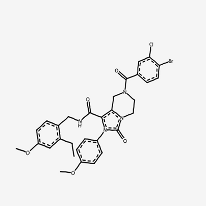 CCc1cc(OC)ccc1CNC(=O)c1c2n(c(=O)n1-c1ccc(OC)cc1)CCN(C(=O)c1ccc(Br)c(Cl)c1)C2